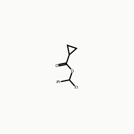 CCC(OC(=O)C1CC1)C(C)C